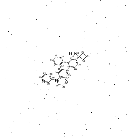 NC1(c2ccc(-c3nc4c(cc3-c3ccccc3)N(c3cccnc3)CCO4)cc2)CCC1